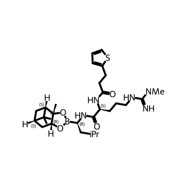 CNC(=N)NCCC[C@H](NC(=O)CCc1cccs1)C(=O)N[C@@H](CC(C)C)B1O[C@@H]2C[C@@H]3C[C@@H](C3(C)C)[C@]2(C)O1